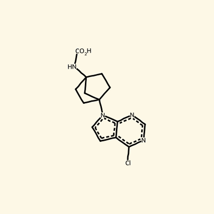 O=C(O)NC12CCC(n3ccc4c(Cl)ncnc43)(CC1)C2